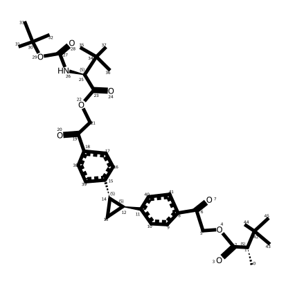 C[C@H](C(=O)OCC(=O)c1ccc([C@H]2C[C@@H]2c2ccc(C(=O)COC(=O)[C@@H](NC(=O)OC(C)(C)C)C(C)(C)C)cc2)cc1)C(C)(C)C